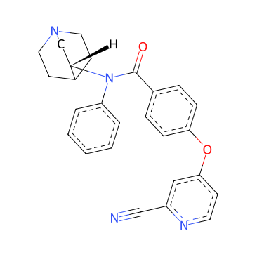 N#Cc1cc(Oc2ccc(C(=O)N(c3ccccc3)[C@H]3CN4CCC3CC4)cc2)ccn1